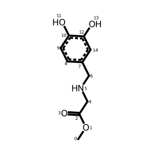 COC(=O)CNCc1ccc(O)c(O)c1